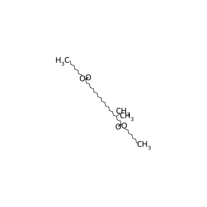 CCCCCCCCOC(=O)CCCCCCCCCCCCCCCC(CCC(=O)OCCCCCCCC)C(C)C